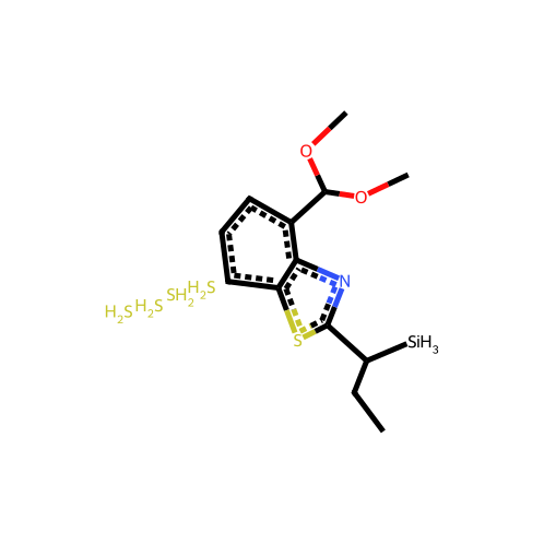 CCC([SiH3])c1nc2c(C(OC)OC)cccc2s1.S.S.S.S